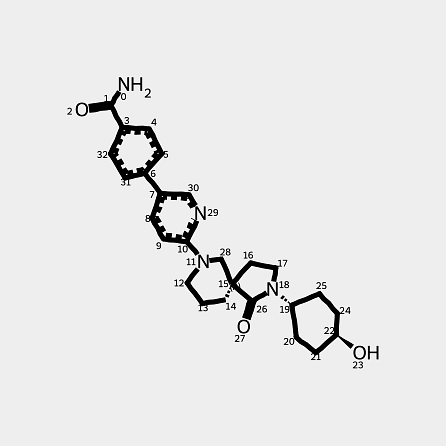 NC(=O)c1ccc(-c2ccc(N3CCC[C@@]4(CCN([C@H]5CC[C@H](O)CC5)C4=O)C3)nc2)cc1